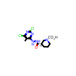 Cc1c(Cl)nc(Cl)nc1NNC(=O)[C@H]1CCCN(C(=O)O)C1